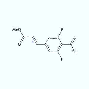 [2H]C(=O)c1c(F)cc(/C=C/C(=O)OC)cc1F